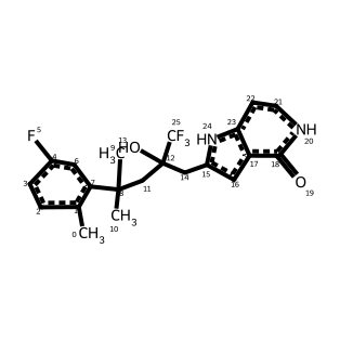 Cc1ccc(F)cc1C(C)(C)CC(O)(Cc1cc2c(=O)[nH]ccc2[nH]1)C(F)(F)F